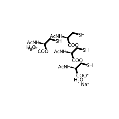 CC(=O)N[C@@H](CS)C(=O)[O-].CC(=O)N[C@@H](CS)C(=O)[O-].CC(=O)N[C@@H](CS)C(=O)[O-].CC(=O)N[C@@H](CS)C(=O)[O-].O.O.[Au+3].[Na+]